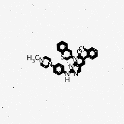 CN1CCN(c2ccc(Nc3ncc4cc(-c5ccccc5Cl)c(=O)n(C5CSc6ccccc6C5)c4n3)cc2)CC1